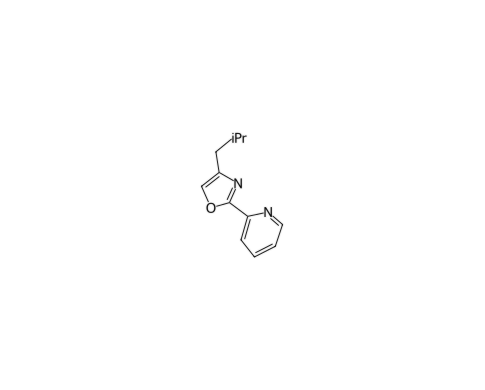 CC(C)Cc1coc(-c2ccccn2)n1